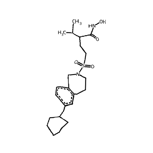 CC(C)C(CCS(=O)(=O)N1CCc2cc(C3CCCCC3)ccc2C1)C(=O)NO